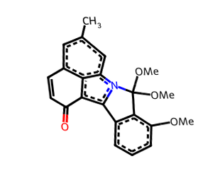 COc1cccc2c1C(OC)(OC)n1c-2c2c3c(cc(C)cc31)C=CC2=O